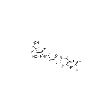 CC(C)(CO)[C@@H](O)C(=O)NCCC(=O)Cc1ccc(OC(F)(F)F)cc1